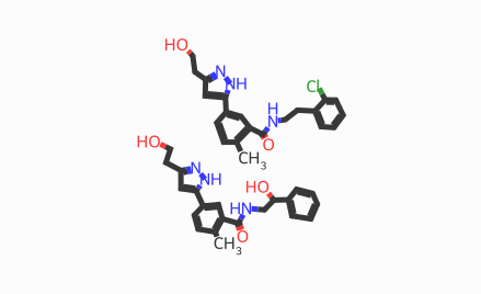 Cc1ccc(-c2cc(CCO)n[nH]2)cc1C(=O)NCC(O)c1ccccc1.Cc1ccc(-c2cc(CCO)n[nH]2)cc1C(=O)NCCc1ccccc1Cl